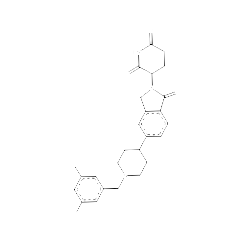 O=C1CCC(N2Cc3cc(C4CCN(Cc5cc(C(F)(F)F)cc(C(F)(F)F)c5)CC4)ccc3C2=O)C(=O)N1